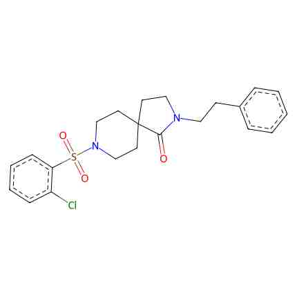 O=C1N(CCc2ccccc2)CCC12CCN(S(=O)(=O)c1ccccc1Cl)CC2